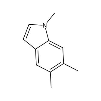 Cc1cc2ccn(C)c2cc1C